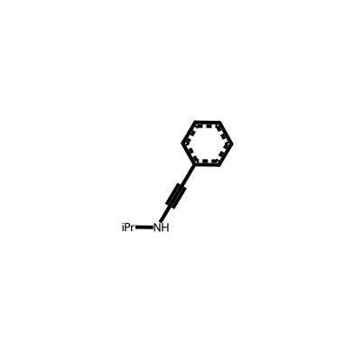 CC(C)NC#Cc1ccccc1